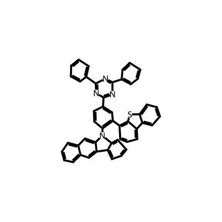 c1ccc(-c2nc(-c3ccccc3)nc(-c3ccc(-n4c5ccccc5c5cc6ccccc6cc54)c(-c4cccc5c4sc4ccccc45)c3)n2)cc1